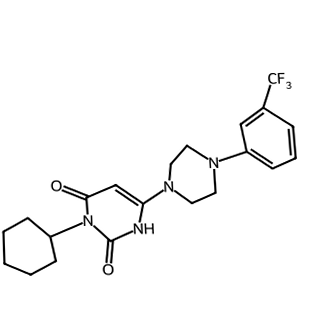 O=c1cc(N2CCN(c3cccc(C(F)(F)F)c3)CC2)[nH]c(=O)n1C1CCCCC1